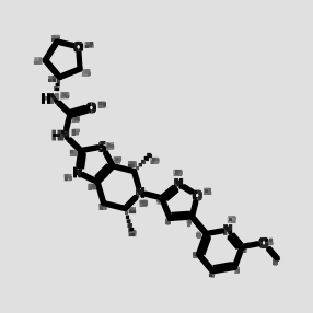 COc1cccc(-c2cc(N3[C@H](C)Cc4nc(NC(=O)N[C@@H]5CCOC5)sc4[C@@H]3C)no2)n1